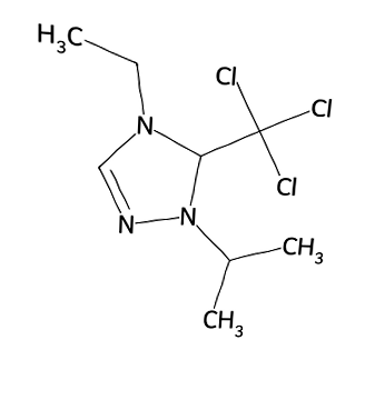 CCN1C=NN(C(C)C)C1C(Cl)(Cl)Cl